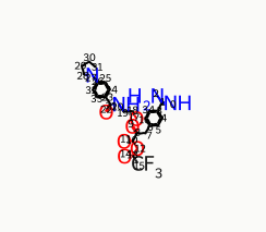 N=C(N)c1ccc(CC(=O)C(=O)OC(=O)C(F)(F)F)c(OCCNC(=O)c2ccc(N3CCCC3)cc2)c1